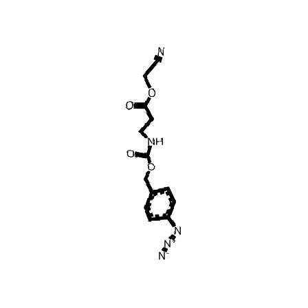 N#CCOC(=O)CCNC(=O)OCc1ccc(N=[N+]=[N-])cc1